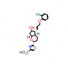 O=C(O)c1csc([C@H]2CC[C@@H]3[C@@H](/C=C/COc4ccccc4Cl)[C@H](O)C[C@@H]3O2)n1